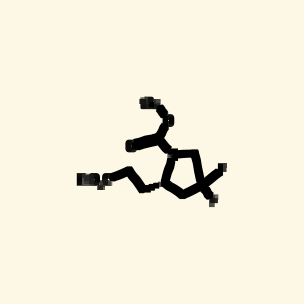 CCOC(=O)CC[C@H]1CC(F)(F)CN1C(=O)OC(C)(C)C